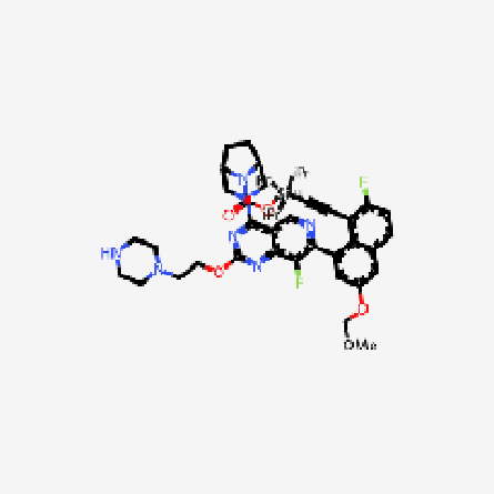 COCOc1cc(-c2ncc3c(N4CC5CCC(C4)N5C(=O)OC(C)(C)C)nc(OCCN4CCNCC4)nc3c2F)c2c(C#C[Si](C(C)C)(C(C)C)C(C)C)c(F)ccc2c1